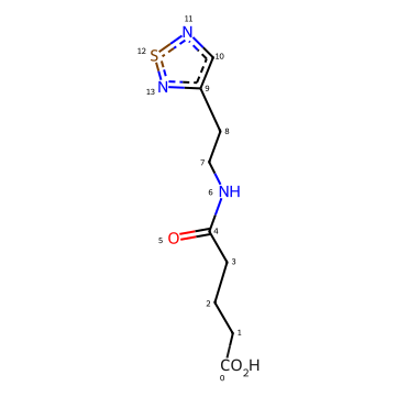 O=C(O)CCCC(=O)NCCc1cnsn1